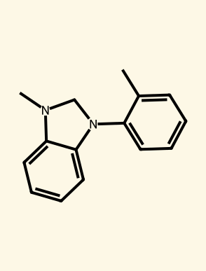 Cc1ccccc1N1CN(C)c2ccccc21